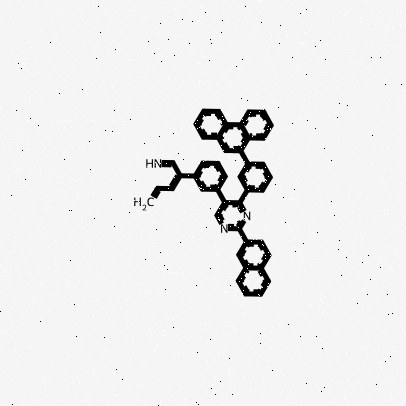 C=C/C=C(\C=N)c1cccc(-c2cnc(-c3ccc4ccccc4c3)nc2-c2cccc(-c3cc4ccccc4c4ccccc34)c2)c1